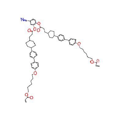 C=CC(=O)OCCCCCCOc1ccc(-c2ccc(C3CCC(CCC(=O)Oc4ccc(C#N)cc4OC(=O)CCC4CCC(c5ccc(-c6ccc(OCCCCCCOC(=O)C=C)cc6)cc5)CC4)CC3)cc2)cc1